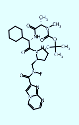 C[C@@H](C(=O)N[C@H](C(=O)N1CCC[C@H]1CN(F)C(=O)c1cn2cccnc2n1)C1CCCCC1)N(C)C(=O)OC(C)(C)C